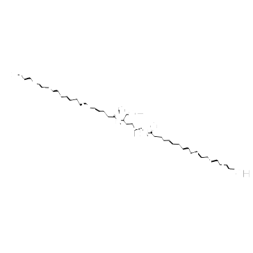 CCC=CCC=CCC=CCC=CCC=CCC=CCCC(=O)NC(CCCCNC(=O)CCCC=CCC=CCC=CCC=CCC=CCC)C(=O)O